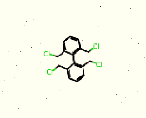 ClCc1cccc(CCl)c1-c1c(CCl)cccc1CCl